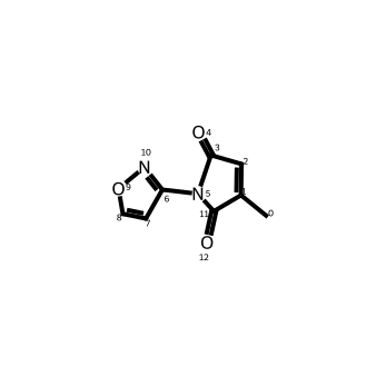 CC1=CC(=O)N(c2ccon2)C1=O